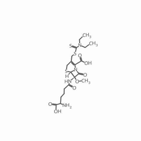 CCN(CC)C(=S)SCC1=C(C(=O)O)N2C(=O)[C@](NC(=O)CCCC(N)C(=O)O)(OC)[C@@H]2SC1